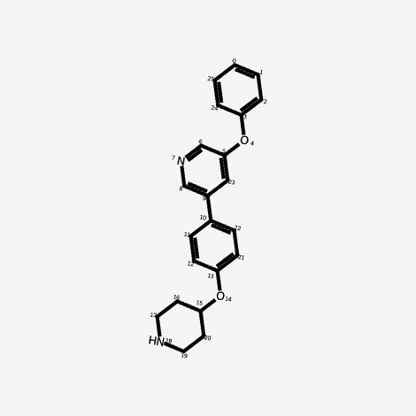 c1ccc(Oc2cncc(-c3ccc(OC4CCNCC4)cc3)c2)cc1